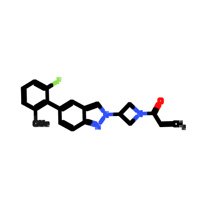 C=CC(=O)N1CC(n2cc3cc(-c4c(F)cccc4OC)ccc3n2)C1